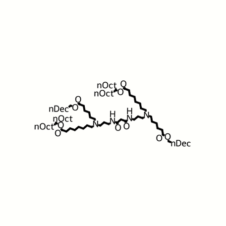 CCCCCCCCCCCOC(=O)CCCCCN(CCCCCCCC(=O)OC(CCCCCCCC)CCCCCCCC)CCCNC(=O)CC(=O)NCCCN(CCCCCCCC(=O)OC(CCCCCCCC)CCCCCCCC)CCCCCC(=O)OCCCCCCCCCCC